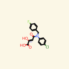 O=C(O)/C(O)=C/C(=O)N(Cc1ccc(F)cc1)c1ccc(Cl)cc1